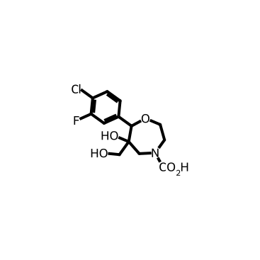 O=C(O)N1CCOC(c2ccc(Cl)c(F)c2)C(O)(CO)C1